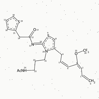 C=C/C=C(\C=C/Cc1cs/c(=N\C(=O)Cc2cccs2)n1CCCNC(C)=O)OC(F)(F)F